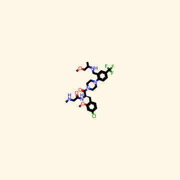 CNCC(=O)N[C@H](Cc1ccc(Cl)cc1OC)C(=O)N1CCN(c2ccc(C(F)(F)F)cc2CNC(C)COC)CC1